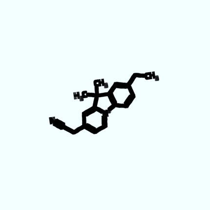 CCc1ccc2c(c1)C(C)(C)c1cc(CC#N)cc[n+]1-2